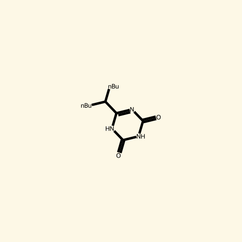 CCCCC(CCCC)c1nc(=O)[nH]c(=O)[nH]1